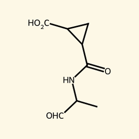 CC(C=O)NC(=O)C1CC1C(=O)O